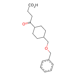 O=C(O)CCC(=O)C1CCC(COCc2ccccc2)CC1